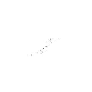 CCCCCC(OC(=O)/C=C/C(=O)OC(CCCCC)N(C)C)N(C)C